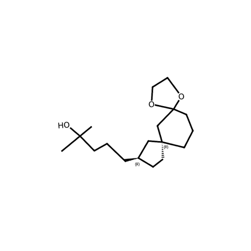 CC(C)(O)CCC[C@@H]1CC[C@]2(CCCC3(C2)OCCO3)C1